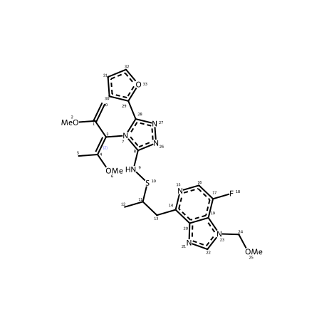 C=C(OC)/C(=C(\C)OC)n1c(NSC(C)Cc2ncc(F)c3c2ncn3COC)nnc1-c1ccco1